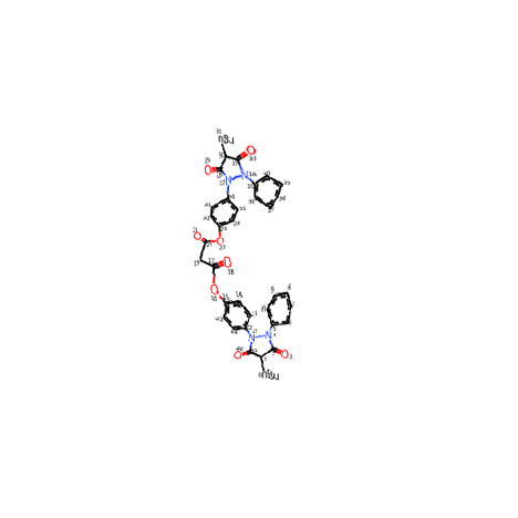 CCCCC1C(=O)N(c2ccccc2)N(c2ccc(OC(=O)CC(=O)Oc3ccc(N4C(=O)C(CCCC)C(=O)N4c4ccccc4)cc3)cc2)C1=O